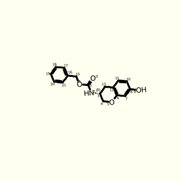 O=C(N[C@H]1COc2cc(O)ccc2C1)OCc1ccccc1